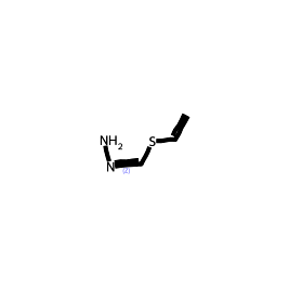 C=CS/C=N\N